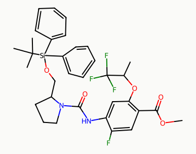 COC(=O)c1cc(F)c(NC(=O)N2CCCC2CO[Si](c2ccccc2)(c2ccccc2)C(C)(C)C)cc1OC(C)C(F)(F)F